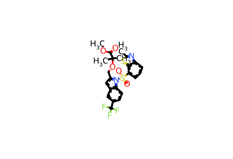 COC(=O)C(C)(C)OCc1cc2cc(C(F)(F)F)ccc2n1S(=O)(=O)c1cccc2nc(C)sc12